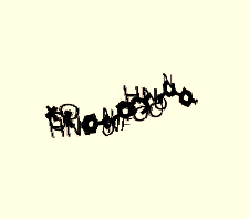 Cc1ccc(-c2cncc(C(=O)NC(Cc3ccc(-c4noc(-c5ccc(NC(=O)OC(C)(C)C)cc5)n4)c(F)c3)C(=O)O)c2)cc1